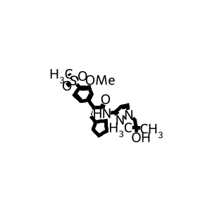 COc1cc([C@@H](CC2CCCC2)C(=O)Nc2ccn(CC(C)(C)O)n2)ccc1S(C)(=O)=O